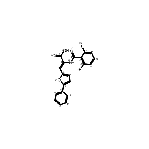 O=C(O)C(=Cc1ccc(-c2ccccc2)o1)NC(=O)c1c(F)cccc1F